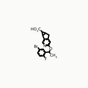 CC(Oc1cc2c(cn1)C1C(C2)C1C(=O)O)c1cc(Br)ccc1F